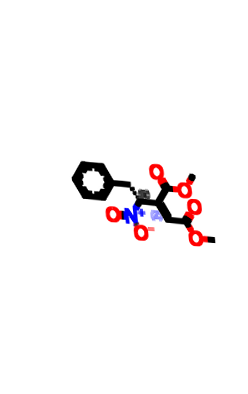 COC(=O)/C=C(\C(=O)OC)[C@@H](Cc1ccccc1)[N+](=O)[O-]